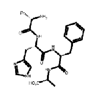 CC(C)[C@H](N)C(=O)N[C@@H](Cc1c[nH]cn1)C(=O)N[C@@H](Cc1ccccc1)C(=O)N[C@@H](C)C(=O)O